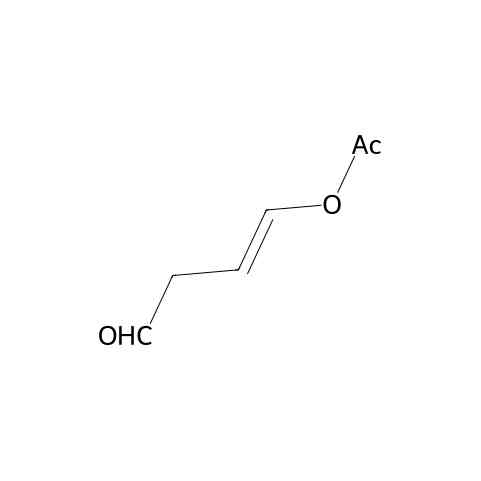 CC(=O)OC=CCC=O